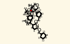 Cn1nc(-c2ccc(OCc3ccccc3)nc2OCc2ccccc2)c2ccc(NC3C[C@H]4COC[C@@H](C3)N4C(=O)OC(C)(C)C)cc21